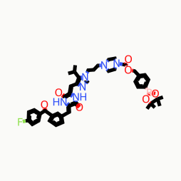 CC(C)c1c(/C=c2\[nH]c(=O)/c(=C/c3cccc(C(=O)c4ccc(F)cc4)c3)[nH]c2=O)ncn1CCCN1CCN(C(=O)OCc2ccc(B3OC(C)(C)C(C)(C)O3)cc2)CC1